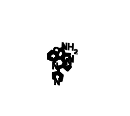 NC(=O)c1cnn2ccc3c2c1-c1ccccc1N=C3c1ccncc1